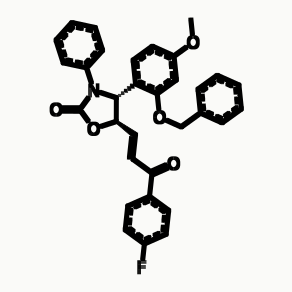 COc1ccc([C@@H]2[C@@H](/C=C/C(=O)c3ccc(F)cc3)OC(=O)N2c2ccccc2)c(OCc2ccccc2)c1